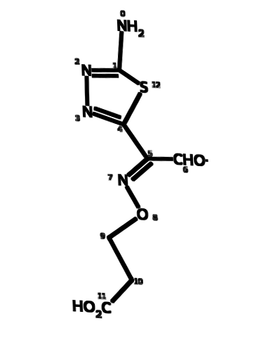 Nc1nnc(/C([C]=O)=N/OCCC(=O)O)s1